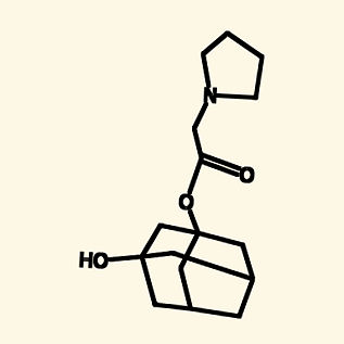 O=C(CN1CCCC1)OC12CC3CC(CC(O)(C3)C1)C2